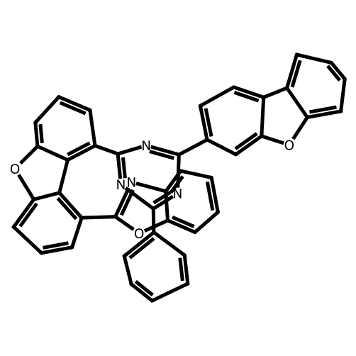 c1ccc(-c2nc(-c3ccc4c(c3)oc3ccccc34)nc(-c3cccc4oc5cccc(-c6nc7ccccc7o6)c5c34)n2)cc1